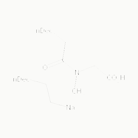 CCCCCCCCCCCC(=O)N(C)CC(=O)O.CCCCCCCCCCC[CH2][Na]